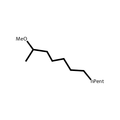 [CH2]OC(C)CCCCCCCCCC